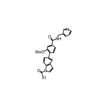 CCC(=O)n1ccc2cc(-c3ccc(C(=O)NCc4cccnc4)cc3OC)ccc21